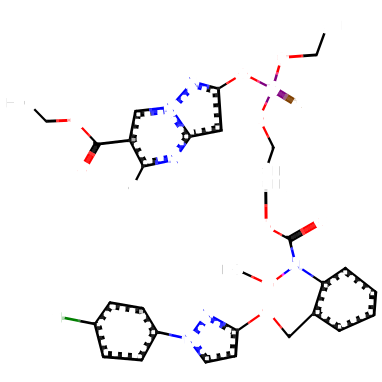 CCOC(=O)c1cn2nc(OP(=S)(OCC)OCC)cc2nc1C.COC(=O)N(OC)c1ccccc1COc1ccn(-c2ccc(Cl)cc2)n1